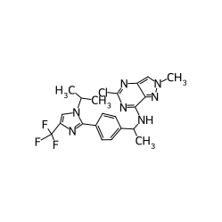 CC(Nc1nc(Cl)nc2cn(C)nc12)c1ccc(-c2nc(C(F)(F)F)cn2C(C)C)cc1